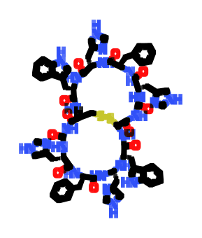 O=C1NC(=O)[C@@H]2CSSC(NC(=O)[C@H](Cc3c[nH]c4ccccc34)N[C@H](Cc3c[nH]cn3)NC(=O)[C@@H](Cc3ccccc3)NC(=O)[C@H](Cc3c[nH]cn3)N1)C(=O)NC(=O)N[C@@H](Cc1c[nH]cn1)C(=O)N[C@H](Cc1ccccc1)C(=O)N[C@@H](Cc1c[nH]cn1)C(=O)N[C@@H](Cc1c[nH]c3ccccc13)C(=O)N2